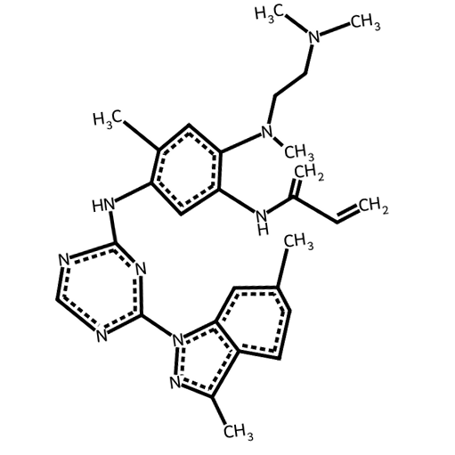 C=CC(=C)Nc1cc(Nc2ncnc(-n3nc(C)c4ccc(C)cc43)n2)c(C)cc1N(C)CCN(C)C